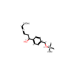 CCCCCCCCCCC=C=CCC(O)c1ccc(CO[Si](C)(C)C(C)(C)C)cc1